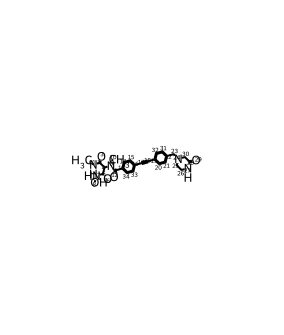 CNC(=O)C(C(=O)NO)N(C)C(=O)c1ccc(C#Cc2ccc(CN3CCNC(=O)C3)cc2)cc1